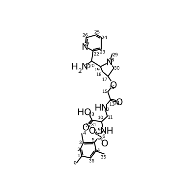 Cc1cc(C)c(S(=O)(=O)NC(CNC(=O)COC2CC(C(N)c3ccccn3)N(C)C2)C(=O)O)c(C)c1